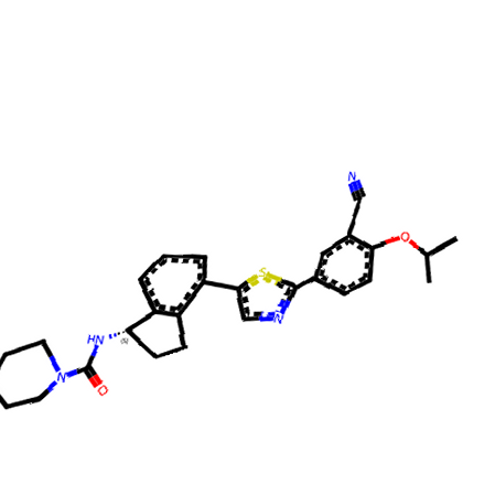 CC(C)Oc1ccc(-c2ncc(-c3cccc4c3CC[C@@H]4NC(=O)N3CCC(N(C)C)CC3)s2)cc1C#N